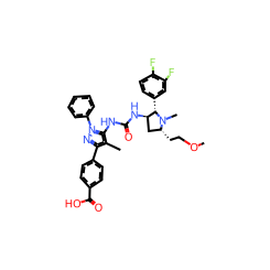 COCC[C@@H]1C[C@@H](NC(=O)Nc2c(C)c(-c3ccc(C(=O)O)cc3)nn2-c2ccccc2)[C@H](c2ccc(F)c(F)c2)N1C